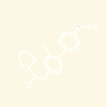 CCC(Cc1ccc(-c2ccc(N=C=S)cc2)c(F)c1)C1CCCCC1